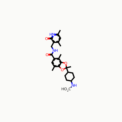 Cc1cc(C)c(CNC(=O)c2cc(C)c3c(c2C)OC(C)(C2CCC(NC(=O)O)CC2)O3)c(=O)[nH]1